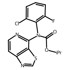 CC(C)OC(=O)N(c1c(F)cccc1Cl)c1nccc2ncsc12